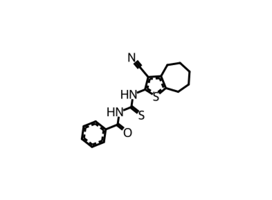 N#Cc1c(NC(=S)NC(=O)c2ccccc2)sc2c1CCCCC2